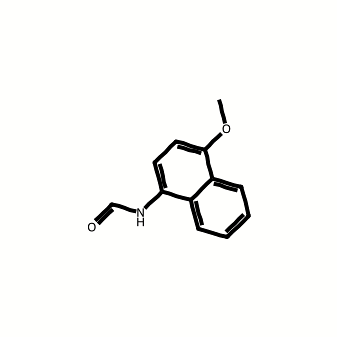 COc1ccc(NC=O)c2ccccc12